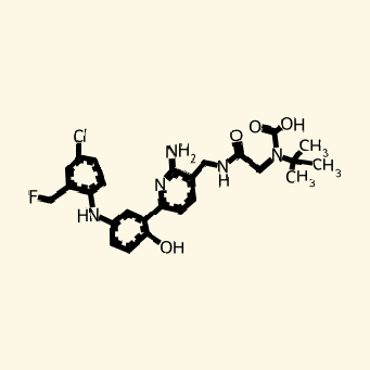 CC(C)(C)N(CC(=O)NCc1ccc(-c2cc(Nc3ccc(Cl)cc3CF)ccc2O)nc1N)C(=O)O